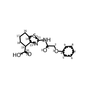 O=C(COc1ccccc1)Nc1nc2c(s1)CCCC2C(=O)O